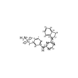 NS(=O)(=O)Cc1cccc(Nc2ncnc(N3CCc4ccccc43)n2)c1